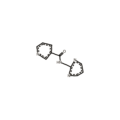 O=C(Nc1ncccn1)c1cccnc1